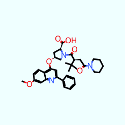 COc1ccc2c(O[C@@H]3C[C@@H](C(=O)O)N(C(=O)[C@@H](CC(=O)N4CCCCC4)C(C)(C)C)C3)cc(-c3ccccc3)nc2c1